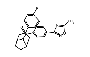 Cc1nc(-c2ccc(C(=O)N3C4CCC3CC(c3ccc(F)cc3)C4)cc2)no1